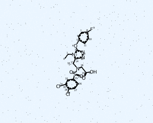 CCn1c(Oc2ccc(F)cc2)nnc1[C@@H](C)N(CC(=O)O)S(=O)(=O)c1ccc(Cl)c(Cl)c1